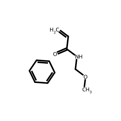 C=CC(=O)NCOC.c1ccccc1